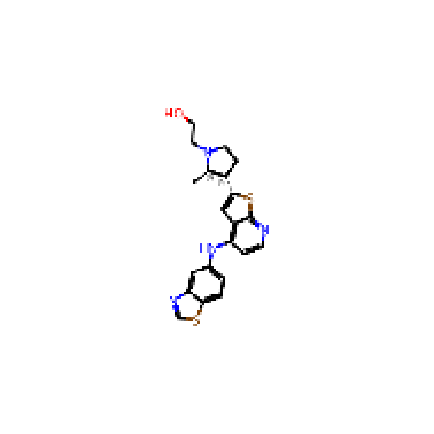 C[C@@H]1[C@@H](c2cc3c(Nc4ccc5scnc5c4)ccnc3s2)CCN1CCO